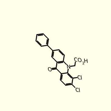 O=C(O)Cn1c2ccc(-c3ccccc3)cc2c(=O)c2ccc(Cl)c(Cl)c21